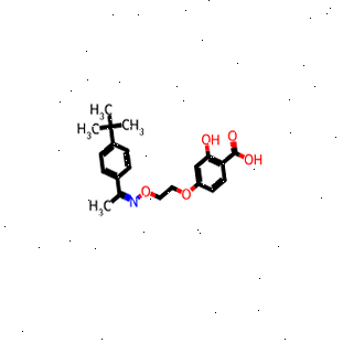 CC(=NOCCOc1ccc(C(=O)O)c(O)c1)c1ccc(C(C)(C)C)cc1